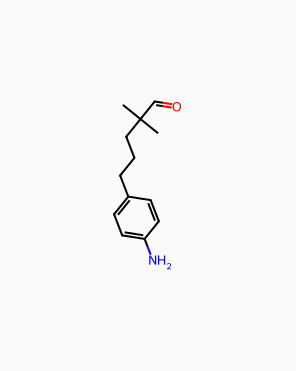 CC(C)(C=O)CCCc1ccc(N)cc1